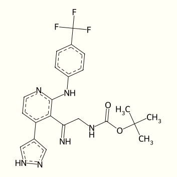 CC(C)(C)OC(=O)NCC(=N)c1c(-c2cn[nH]c2)ccnc1Nc1ccc(C(F)(F)F)cc1